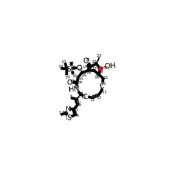 C/C(=C\c1csc(C)n1)[C@@H]1C/C=C\CCC[C@@H]2C[C@@](C)(C(=O)[C@@H](C)[C@@H]2O)[C@@H](O[Si](C)(C)C(C)(C)C)CC(=O)N1